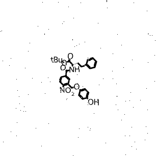 CC(C)(C)OC(=O)[C@H](CCc1ccccc1)NC(=O)c1ccc([N+](=O)[O-])c(COc2ccc(O)cc2)c1